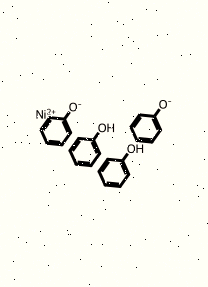 Oc1ccccc1.Oc1ccccc1.[Ni+2].[O-]c1ccccc1.[O-]c1ccccc1